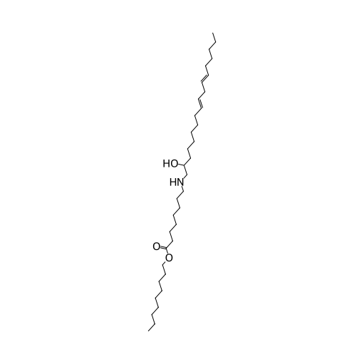 CCCCC/C=C/C/C=C/CCCCCCC(O)CNCCCCCCCC(=O)OCCCCCCCCC